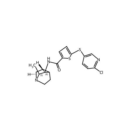 C[C@H]1[C@H](NC(=O)c2ccc(Sc3ccc(Cl)nc3)s2)C2CCN1CC2